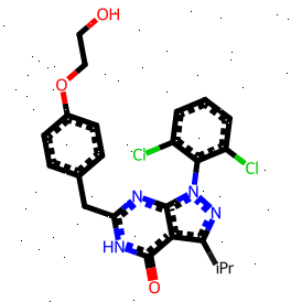 CC(C)c1nn(-c2c(Cl)cccc2Cl)c2nc(Cc3ccc(OCCO)cc3)[nH]c(=O)c12